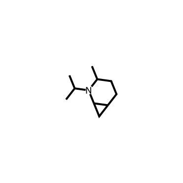 CC(C)N1C(C)CCC2CC21